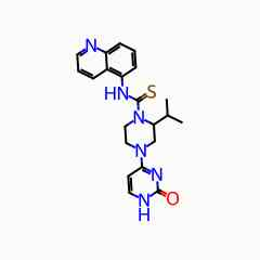 CC(C)C1CN(c2cc[nH]c(=O)n2)CCN1C(=S)Nc1cccc2ncccc12